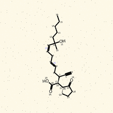 C#CC(C/C=C/C/C=C\C(C)(O)CCCCC)[C@H](C(=O)O)[C@H]1CCCC1=O